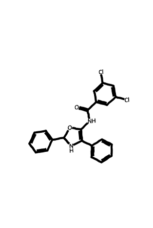 O=C(NC1=C(c2ccccc2)NC(c2ccccc2)O1)c1cc(Cl)cc(Cl)c1